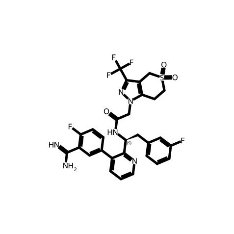 N=C(N)c1cc(-c2cccnc2[C@H](Cc2cccc(F)c2)NC(=O)Cn2nc(C(F)(F)F)c3c2CCS(=O)(=O)C3)ccc1F